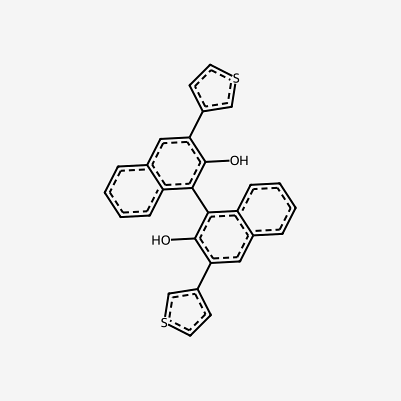 Oc1c(-c2ccsc2)cc2ccccc2c1-c1c(O)c(-c2ccsc2)cc2ccccc12